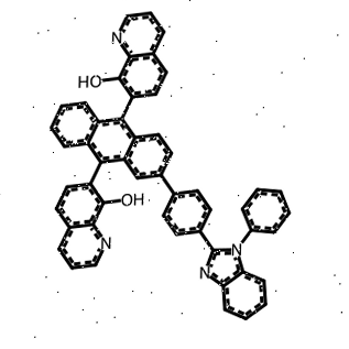 Oc1c(-c2c3ccccc3c(-c3ccc4cccnc4c3O)c3cc(-c4ccc(-c5nc6ccccc6n5-c5ccccc5)cc4)ccc23)ccc2cccnc12